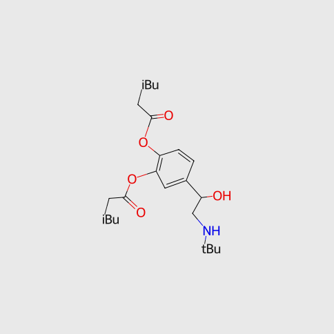 CCC(C)CC(=O)Oc1ccc(C(O)CNC(C)(C)C)cc1OC(=O)CC(C)CC